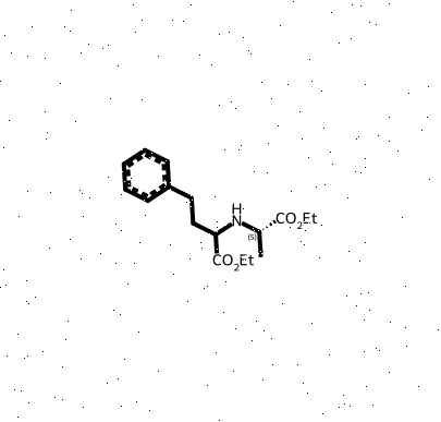 CCOC(=O)C(CCc1ccccc1)N[C@@H](C)C(=O)OCC